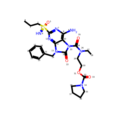 CCCS(=N)(=O)c1nc(N)c2c(n1)n(Cc1ccccc1)c(=O)n2C(=O)N(CC)CCOC(=O)N1CCCC1